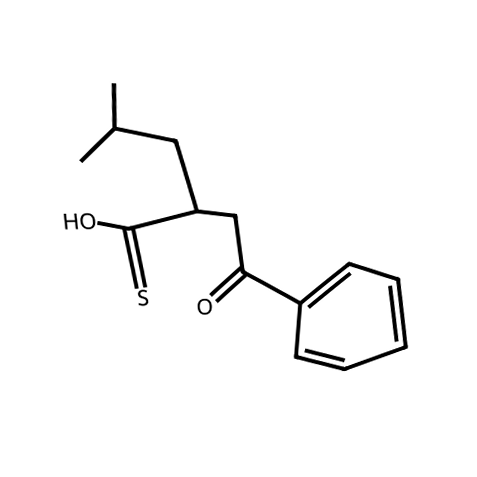 CC(C)CC(CC(=O)c1ccccc1)C(O)=S